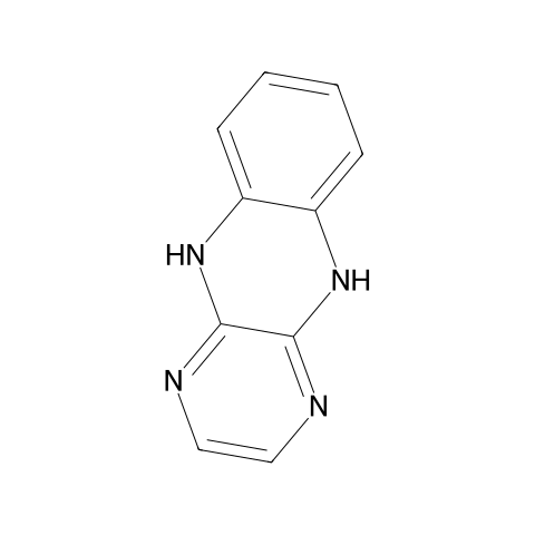 c1ccc2c(c1)Nc1nccnc1N2